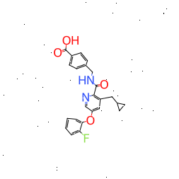 O=C(O)c1ccc(CNC(=O)c2ncc(Oc3ccccc3F)cc2CC2CC2)cc1